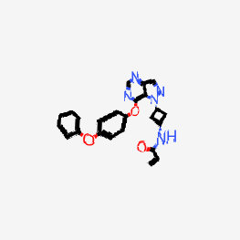 C=CC(=O)N[C@H]1C[C@H](n2ncc3ncnc(Oc4ccc(Oc5ccccc5)cc4)c32)C1